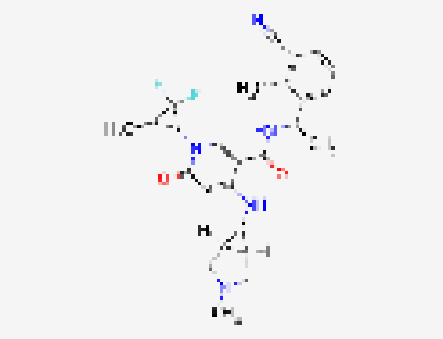 Cc1c(C#N)cccc1[C@@H](C)NC(=O)c1cn([C@@H]2[C@@H](C)C2(F)F)c(=O)cc1NC1[C@H]2CN(C)C[C@@H]12